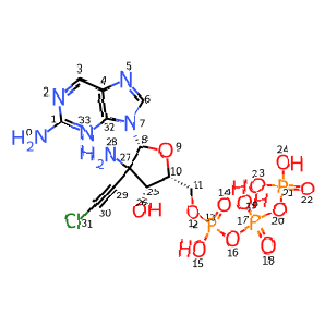 Nc1ncc2ncn([C@@H]3O[C@H](COP(=O)(O)OP(=O)(O)OP(=O)(O)O)[C@H](O)C3(N)C#CCl)c2n1